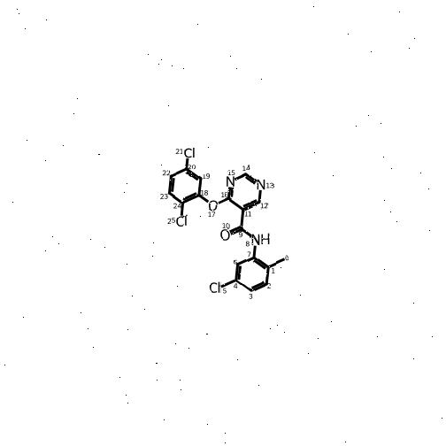 Cc1ccc(Cl)cc1NC(=O)c1cncnc1Oc1cc(Cl)ccc1Cl